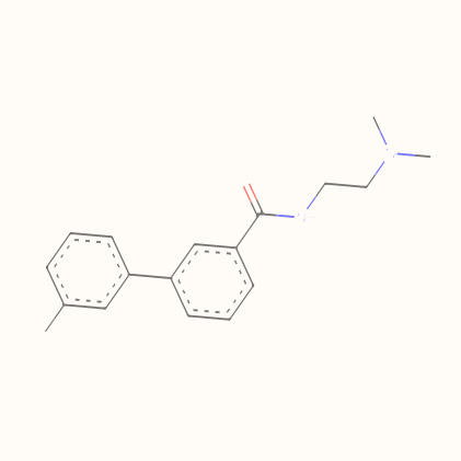 CCc1cccc(-c2cccc(C(=O)NCCN(C)C)c2)c1